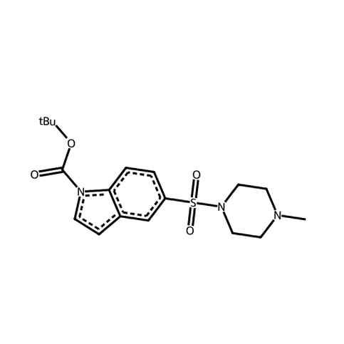 CN1CCN(S(=O)(=O)c2ccc3c(ccn3C(=O)OC(C)(C)C)c2)CC1